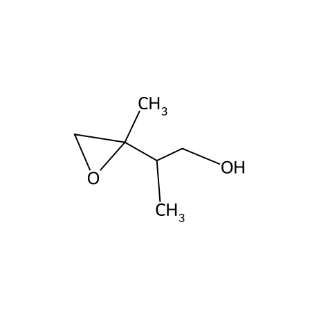 CC(CO)C1(C)CO1